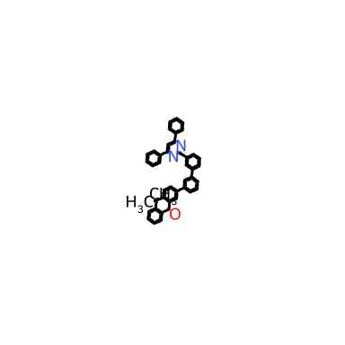 CC1(C)c2ccccc2C(=O)c2cc(-c3cccc(-c4cccc(-c5nc(-c6ccccc6)cc(-c6ccccc6)n5)c4)c3)ccc21